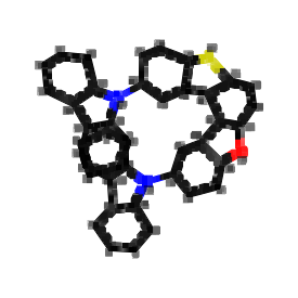 c1ccc2c(c1)c1ccccc1n2-c1ccc2oc3ccc4sc5ccc(-n6c7ccccc7c7ccccc76)cc5c4c3c2c1